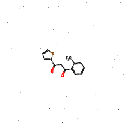 O=C(CC(=O)c1ccccc1C(F)(F)F)c1cccs1